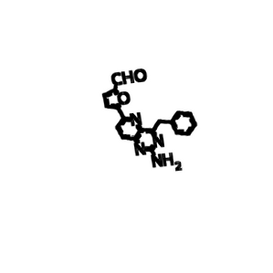 Nc1nc(Cc2ccccc2)c2nc(-c3ccc(C=O)o3)ccc2n1